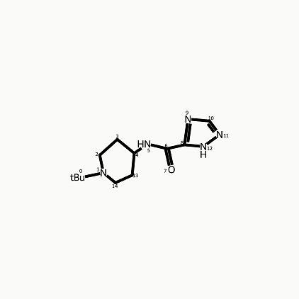 CC(C)(C)N1CCC(NC(=O)c2ncn[nH]2)CC1